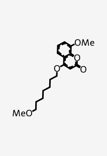 COCCCCCCCOc1cc(=O)oc2c(OC)cccc12